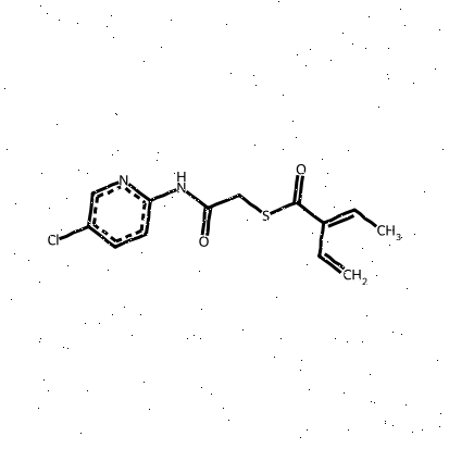 C=C/C(=C\C)C(=O)SCC(=O)Nc1ccc(Cl)cn1